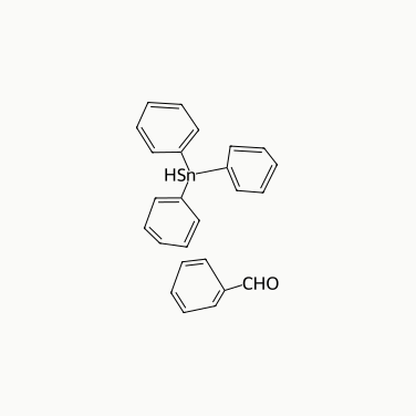 O=Cc1ccccc1.c1cc[c]([SnH]([c]2ccccc2)[c]2ccccc2)cc1